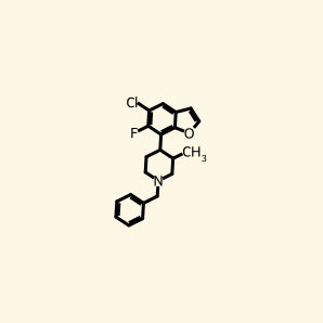 CC1CN(Cc2ccccc2)CCC1c1c(F)c(Cl)cc2ccoc12